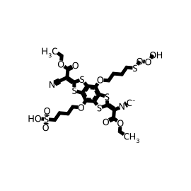 [C-]#[N+]/C(C(=O)OCC)=C1\Sc2c(OCCCCSOOO)c3c(c(OCCCCS(=O)(=O)O)c2S1)S/C(=C(\C#N)C(=O)OCC)S3